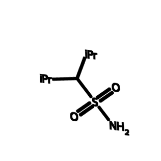 CC(C)C(C(C)C)S(N)(=O)=O